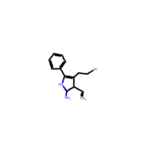 C=CC1C(CCC(C)=O)=C(c2ccccc2)NC1N